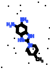 Cc1cc[n+](C2Nc3cc(N)c(N)cc3N2)cc1